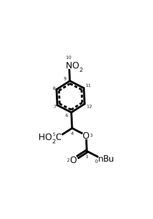 CCCCC(=O)OC(C(=O)O)c1ccc([N+](=O)[O-])cc1